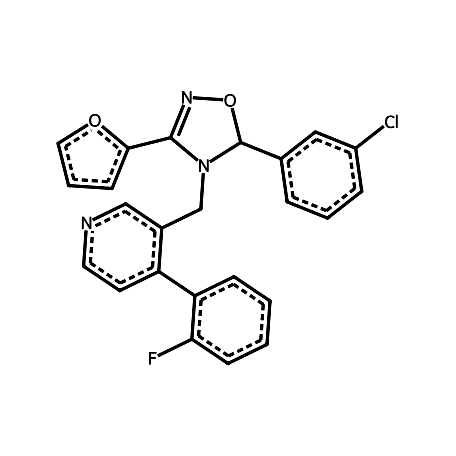 Fc1ccccc1-c1ccncc1CN1C(c2ccco2)=NOC1c1cccc(Cl)c1